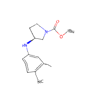 [C-]#[N+]c1ccc(N[C@H]2CCN(C(=O)OC(C)(C)C)C2)cc1C